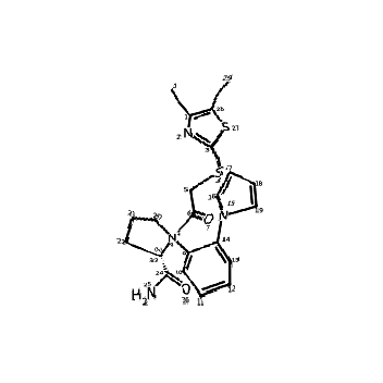 Cc1nc(SCC(=O)[N+]2(c3ccccc3-n3cccc3)CCC[C@H]2C(N)=O)sc1C